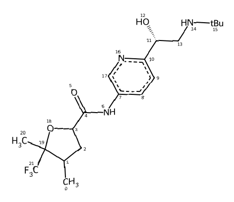 CC1CC(C(=O)Nc2ccc([C@H](O)CNC(C)(C)C)nc2)OC1(C)C(F)(F)F